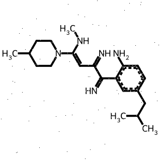 CN/C(=C\C(=N)C(=N)c1cc(CC(C)C)ccc1N)N1CCC(C)CC1